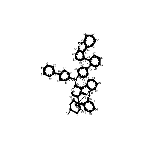 C[C@H]1C[C@@H]2C[C@@H](C)C[C@H](C1)C21c2ccccc2-n2c3ccccc3c3c(N(c4ccc(-c5ccccc5)cc4)c4ccc(-c5ccccc5-c5cccc6sc7ccccc7c56)cc4)ccc1c32